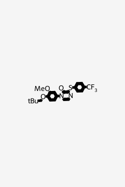 COc1cc(-n2ccnc(Sc3ccc(C(F)(F)F)cc3)c2=O)ccc1OCC(C)(C)C